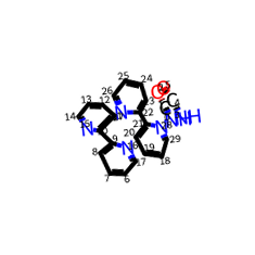 N=C=O.N=C=O.c1ccc(-c2ccccn2)nc1.c1ccc(-c2ccccn2)nc1